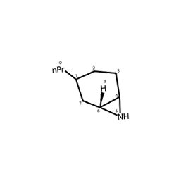 CCCC1CCC2N[C@@H]2C1